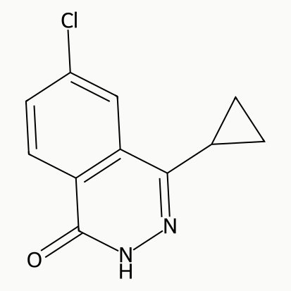 O=c1[nH]nc(C2CC2)c2cc(Cl)ccc12